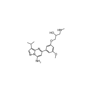 CNCC(O)COc1cc(OC)cc(-c2cc(N)n3ncc(C(C)C)c3n2)c1